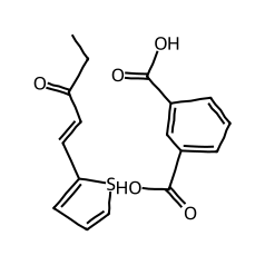 CCC(=O)C=Cc1cccs1.O=C(O)c1cccc(C(=O)O)c1